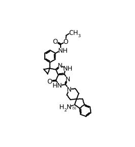 CCOC(=O)Nc1cccc(C2(c3n[nH]c4nc(N5CCC6(CC5)Cc5ccccc5[C@H]6N)[nH]c(=O)c34)CC2)c1